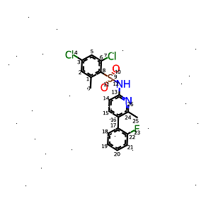 Cc1cc(Cl)cc(Cl)c1S(=O)(=O)Nc1ccc(-c2ccccc2F)c(C)n1